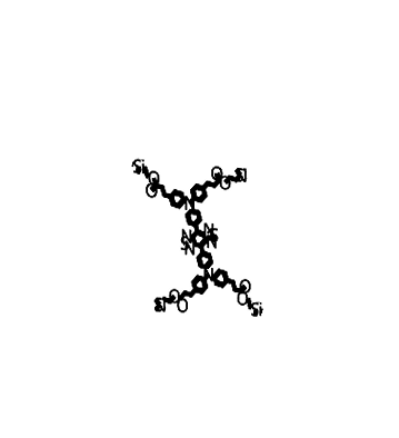 C[Si](C)(C)CCOC(=O)CCc1ccc(N(c2ccc(CCC(=O)OCC[Si](C)(C)C)cc2)c2ccc(-c3c4c(c(-c5ccc(N(c6ccc(CCC(=O)OCC[Si](C)(C)C)cc6)c6ccc(CCC(=O)OCC[Si](C)(C)C)cc6)cc5)c5nsnc35)N=S=N4)cc2)cc1